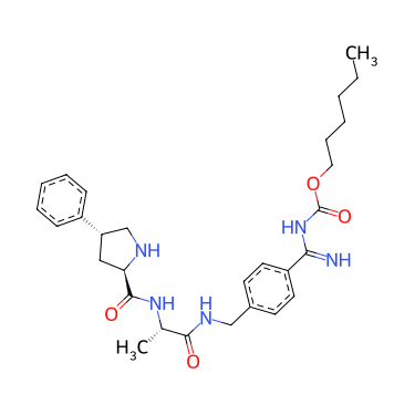 CCCCCCOC(=O)NC(=N)c1ccc(CNC(=O)[C@H](C)NC(=O)[C@H]2C[C@H](c3ccccc3)CN2)cc1